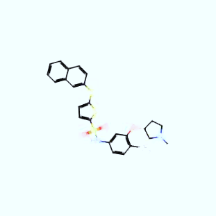 CN1CC[C@@H](Oc2cc(NS(=O)(=O)c3ccc(Sc4ccc5ccccc5c4)s3)ccc2C(F)(F)F)C1